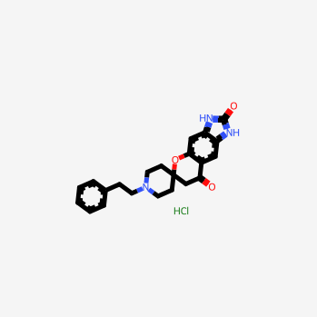 Cl.O=C1CC2(CCN(CCc3ccccc3)CC2)Oc2cc3[nH]c(=O)[nH]c3cc21